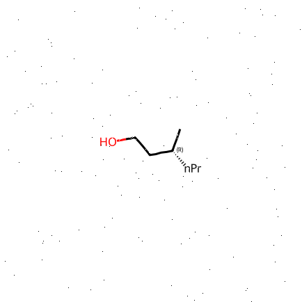 CCC[C@@H](C)CCO